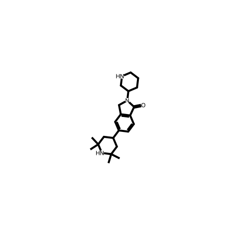 CC1(C)CC(c2ccc3c(c2)CN(C2CCCNC2)C3=O)CC(C)(C)N1